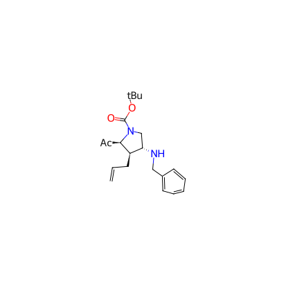 C=CC[C@@H]1[C@@H](NCc2ccccc2)CN(C(=O)OC(C)(C)C)[C@@H]1C(C)=O